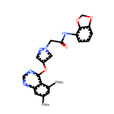 COc1cc(OC)c2c(Oc3cnn(CC(=O)Nc4cccc5c4OCO5)c3)ncnc2c1